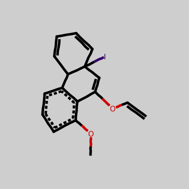 C=COC1=CC2(I)C=CC=CC2c2cccc(OC)c21